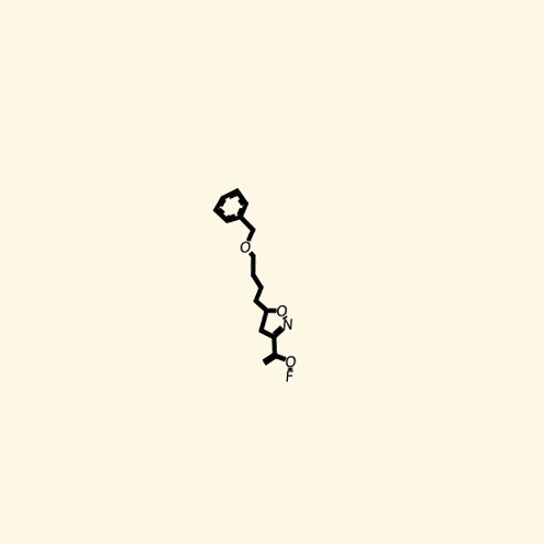 C=C(OF)C1=NOC(CCCCOCc2ccccc2)C1